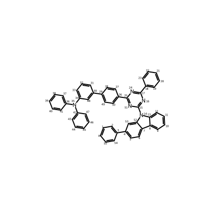 c1ccc(-c2ccc3c4ccccc4n(-c4nc(-c5ccccc5)nc(-c5ccc(-c6cccc(N(c7ccccc7)c7ccccc7)c6)cc5)n4)c3c2)cc1